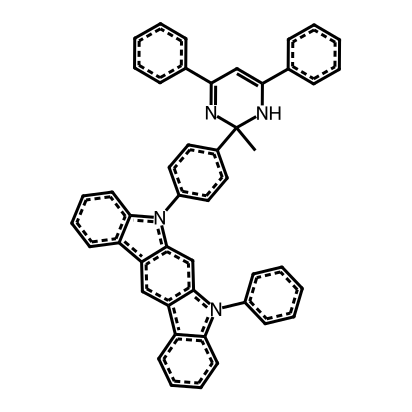 CC1(c2ccc(-n3c4ccccc4c4cc5c6ccccc6n(-c6ccccc6)c5cc43)cc2)N=C(c2ccccc2)C=C(c2ccccc2)N1